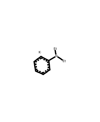 CCN(CC)c1ccccc1.[K]